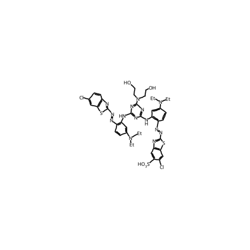 CCN(CC)c1ccc(/N=N/c2nc3ccc(Cl)cc3s2)c(Nc2nc(Nc3cc(N(CC)CC)ccc3/N=N/c3nc4cc(S(=O)(=O)O)c(Cl)cc4s3)nc(N(CCO)CCO)n2)c1